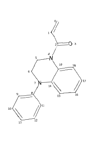 C=CC(=O)N1CCN(c2ccccc2)c2ccccc21